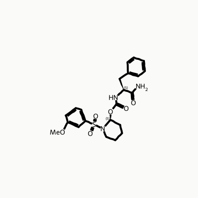 COc1cccc(S(=O)(=O)N2CCCC[C@@H]2OC(=O)N[C@@H](Cc2ccccc2)C(N)=O)c1